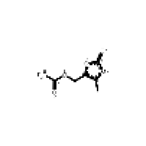 Cc1oc(=O)oc1COC(=O)C(F)(F)F